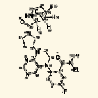 CCN(C(=O)c1cc(F)ccc1N1CCN(C2CCN(C(=O)[C@H]3NC4CC[C@@H]3[C@@H](F)C4)C2)c2ncncc21)C(C)C